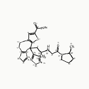 CNC(=O)c1cc2c(s1)C(C[C@H](C)NCC(=O)N1CCCC1C#N)(c1nn[nH]n1)c1ccsc1CC2